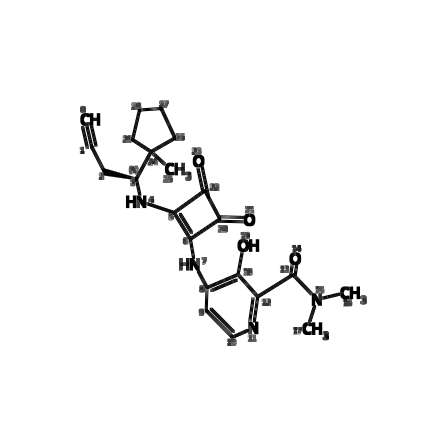 C#CC[C@H](Nc1c(Nc2ccnc(C(=O)N(C)C)c2O)c(=O)c1=O)C1(C)CCCC1